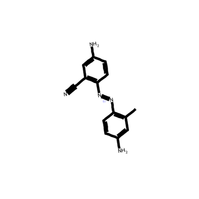 Cc1cc(N)ccc1/N=N/c1ccc(N)cc1C#N